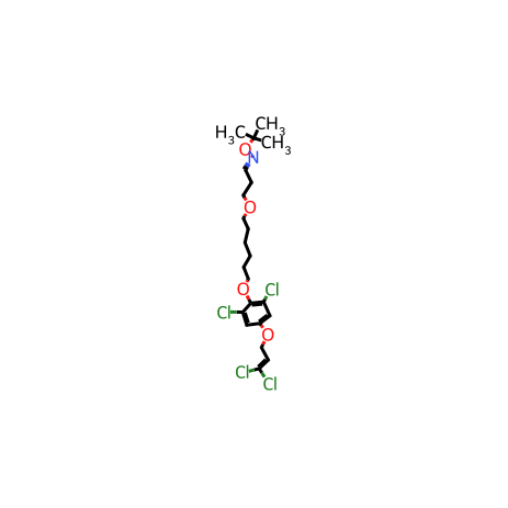 CC(C)(C)O/N=C/CCOCCCCCCOc1c(Cl)cc(OCC=C(Cl)Cl)cc1Cl